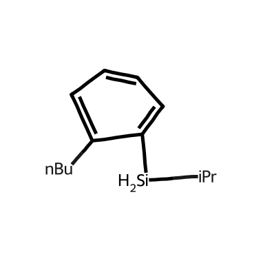 CCCCc1ccccc1[SiH2]C(C)C